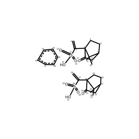 C=C(C12CCC(CC1=O)C2(C)C)S(=O)(=O)O.C=C(C12CCC(CC1=O)C2(C)C)S(=O)(=O)O.c1ccccc1